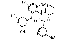 CNc1cncc(C(=O)N[C@H]2CCCC[C@H]2Nc2c(NC)cc(Br)cc2C(=O)N2C[C@@H](C)O[C@@H](C)C2)c1